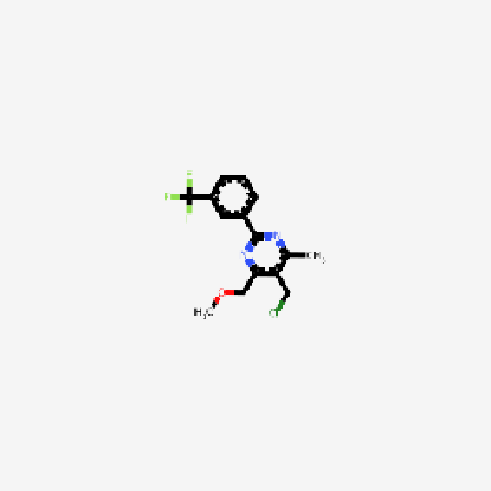 COCc1nc(-c2cccc(C(F)(F)F)c2)nc(C)c1CCl